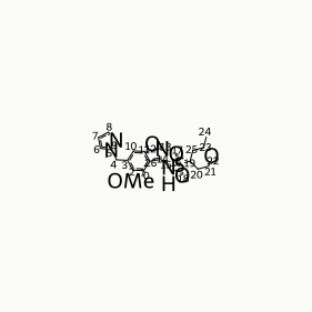 COc1cc(Cn2cccn2)cc2onc(NS(=O)(=O)C3CCOC(C)C3)c12